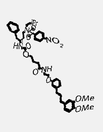 COc1ccc(CCCc2cccc(OCCNC(=O)CCCOC(=O)N[C@H](CCN(CC(C)C)S(=O)(=O)c3ccc([N+](=O)[O-])cc3)Cc3ccccc3)c2)cc1OC